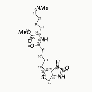 CNCCCC[C@H](NC(=O)CCCC[C@@H]1SCC2NC(=O)NC21)C(=O)OC